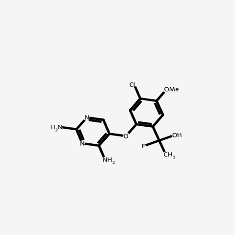 COc1cc(C(C)(O)F)c(Oc2cnc(N)nc2N)cc1Cl